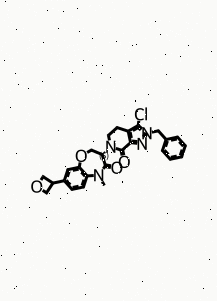 CN1C(=O)[C@@H](N2CCc3c(nn(Cc4ccccc4)c3Cl)C2=O)COc2cc(C3COC3)ccc21